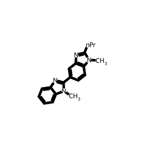 CCCc1nc2cc(-c3nc4ccccc4n3C)ccc2n1C